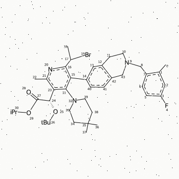 Cc1cc(F)ccc1CN1CCc2cc(-c3c(C(C)Br)nc(C)c([C@H](OC(C)(C)C)C(=O)OC(C)C)c3N3CCC(C)(C)CC3)ccc2C1